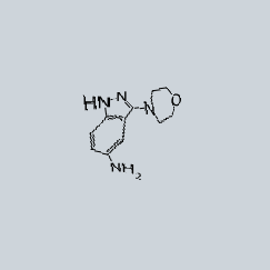 Nc1ccc2[nH]nc(N3CCOCC3)c2c1